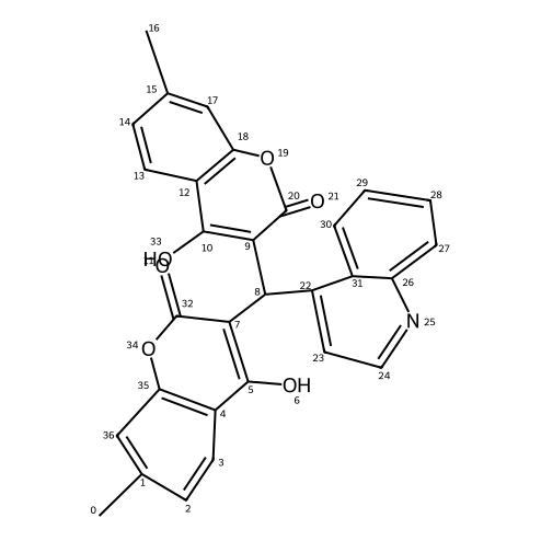 Cc1ccc2c(O)c(C(c3c(O)c4ccc(C)cc4oc3=O)c3ccnc4ccccc34)c(=O)oc2c1